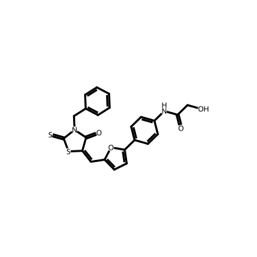 O=C(CO)Nc1ccc(-c2ccc(C=C3SC(=S)N(Cc4ccccc4)C3=O)o2)cc1